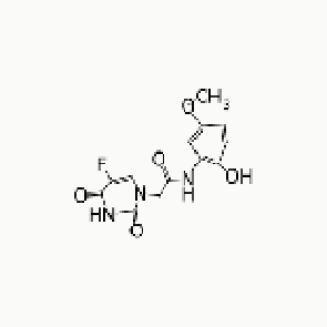 COc1ccc(O)c(NC(=O)Cn2cc(F)c(=O)[nH]c2=O)c1